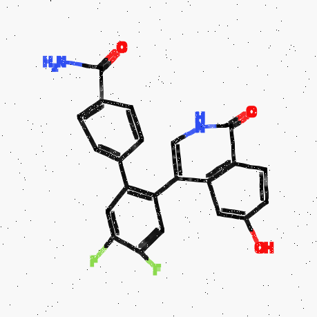 NC(=O)c1ccc(-c2cc(F)c(F)cc2-c2c[nH]c(=O)c3ccc(O)cc23)cc1